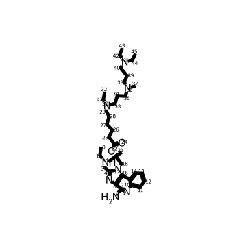 CCNCc1nc2c(N)nc3ccccc3c2n1CC(C)(C)OC(=O)CCCCCN(CC)CCCN(C)CCCN(CC)CC